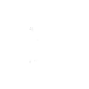 CCCC(C)[C](C)(C)[Al]